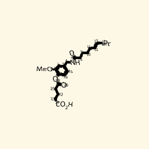 COc1cc(CNC(=O)CCCC/C=C/C(C)C)ccc1OC(=O)CCCC(=O)O